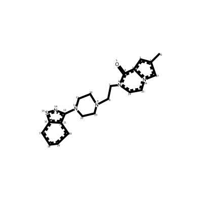 Cc1cc2c(=O)n(CCN3CCN(c4nsc5ccccc45)CC3)ccn2c1